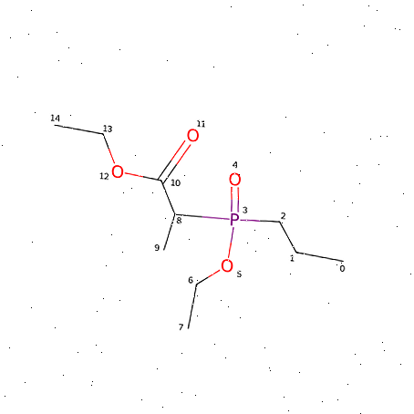 CCCP(=O)(OCC)C(C)C(=O)OCC